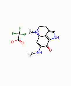 CNC1=CC2=[N+](C)CCc3c[nH]c(c32)C1=O.O=C([O-])C(F)(F)F